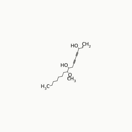 C=CC(O)C#CC#CCC(O)C(CCCCCCC)OC